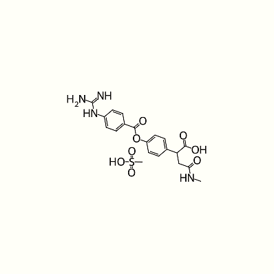 CNC(=O)CC(C(=O)O)c1ccc(OC(=O)c2ccc(NC(=N)N)cc2)cc1.CS(=O)(=O)O